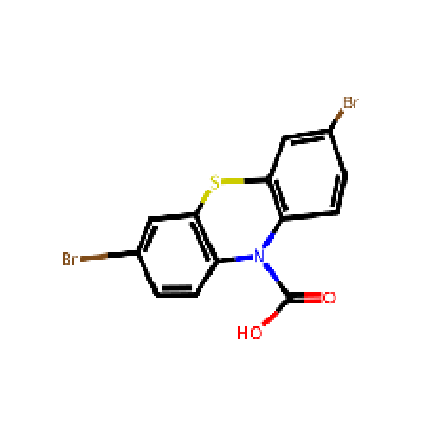 O=C(O)N1c2ccc(Br)cc2Sc2cc(Br)ccc21